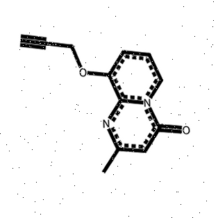 C#CCOc1cccn2c(=O)cc(C)nc12